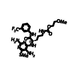 COCCOC(=O)NCCC[C@H](Nc1nc(N)nc(SC)c1N)C(=O)Nc1cccc(C(F)(F)F)c1